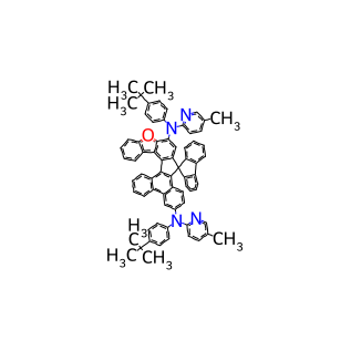 Cc1ccc(N(c2ccc(C(C)(C)C)cc2)c2ccc3c4c(c5ccccc5c3c2)-c2c(cc(N(c3ccc(C(C)(C)C)cc3)c3ccc(C)cn3)c3oc5ccccc5c23)C42c3ccccc3-c3ccccc32)nc1